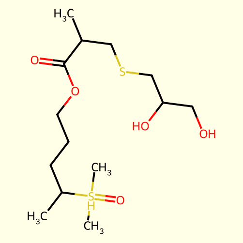 CC(CSCC(O)CO)C(=O)OCCCC(C)[SH](C)(C)=O